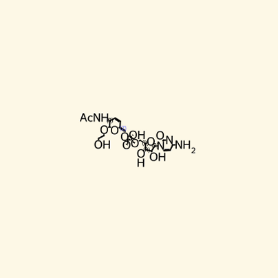 CC(=O)N[C@@H]1C=C/C(=C/OP(=O)(O)OC[C@H]2O[C@@H](n3ccc(N)nc3=O)C(O)[C@H]2O)OC1OCCO